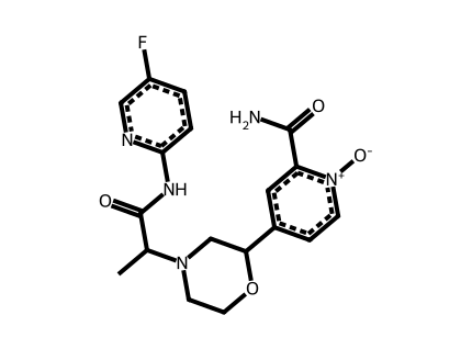 CC(C(=O)Nc1ccc(F)cn1)N1CCOC(c2cc[n+]([O-])c(C(N)=O)c2)C1